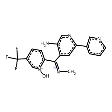 C/N=C(\c1cc(-c2cccnc2)ncc1N)c1ccc(C(F)(F)F)c[n+]1O